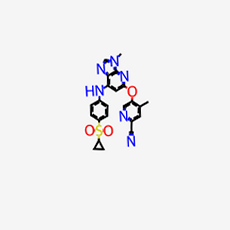 Cc1cc(C#N)ncc1Oc1cc(Nc2ccc(S(=O)(=O)C3CC3)cc2)c2ncn(C)c2n1